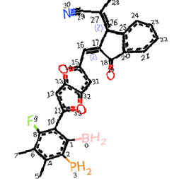 Bc1c(P)c(C)c(C)c(F)c1-c1cc2oc(/C=C3\C(=O)c4ccccc4\C3=C(/C)C#N)cc2o1